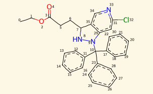 CCOC(=O)CCC1NN(C(c2ccccc2)(c2ccccc2)c2ccccc2)c2cc(Cl)ncc21